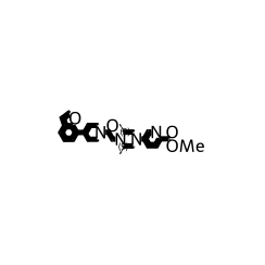 COC(=O)c1ccc(N2C[C@@H](C)N(CC(=O)N3CC=C(c4cccc5ccoc45)CC3)[C@@H](C)C2)cn1